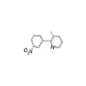 Cc1cccnc1-c1cccc([N+](=O)[O-])c1